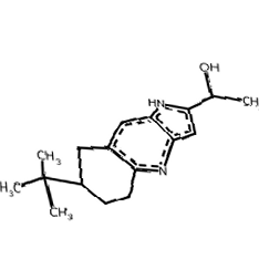 CC(O)c1cc2nc3c(cc2[nH]1)CC(C(C)(C)C)CC3